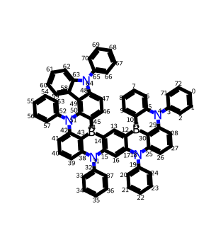 c1ccc(N2c3ccccc3B3c4cc5c(cc4N(c4ccccc4)c4cccc2c43)N(c2ccccc2)c2cccc3c2B5c2ccc4c(c2N3c2ccccc2)c2ccccc2n4-c2ccccc2)cc1